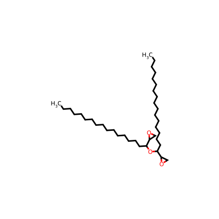 CCCCCCCCCCCCCCCCC(OC(CCCCCCCCCCCCCCCC)C1CO1)C1CO1